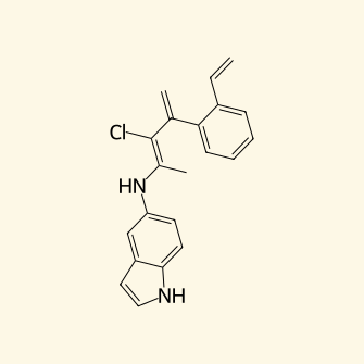 C=Cc1ccccc1C(=C)/C(Cl)=C(\C)Nc1ccc2[nH]ccc2c1